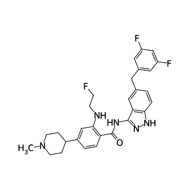 CN1CCC(c2ccc(C(=O)Nc3n[nH]c4ccc(Cc5cc(F)cc(F)c5)cc34)c(NCCF)c2)CC1